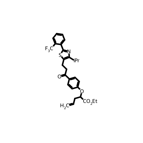 C=CCC(Oc1ccc(C(=O)CCc2sc(-c3ccccc3C(F)(F)F)nc2C(C)C)cc1)C(=O)OCC